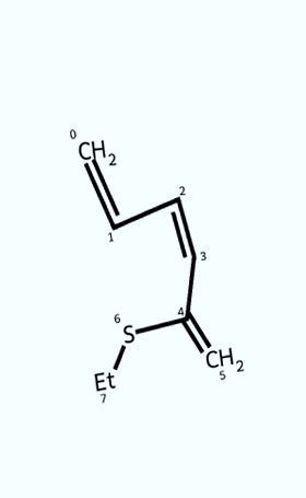 C=C/C=C\C(=C)SCC